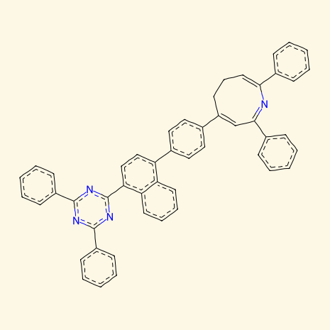 C1=C(c2ccccc2)/N=C(c2ccccc2)\C=C(\c2ccc(-c3ccc(-c4nc(-c5ccccc5)nc(-c5ccccc5)n4)c4ccccc34)cc2)CC\1